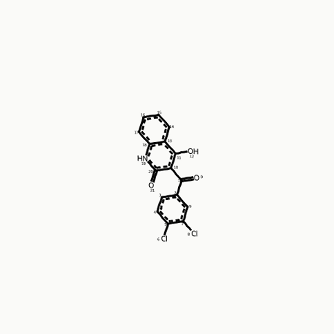 O=C(c1ccc(Cl)c(Cl)c1)c1c(O)c2ccccc2[nH]c1=O